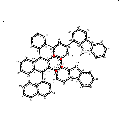 c1ccc(-c2c3ccccc3c(-c3cccc4ccccc34)c3ccccc23)c(-c2nc(-c3cccc4c3oc3ccccc34)nc(-c3cccc4c3oc3ccccc34)n2)c1